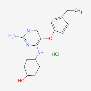 CCc1ccc(Oc2cnc(N)nc2NC2CCC(O)CC2)cc1.Cl